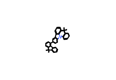 CC1(C)C2=C(C=CCC2)n2c3ccc(-c4cccc5c4-c4ccccc4C5(C)C)cc3c3cccc1c32